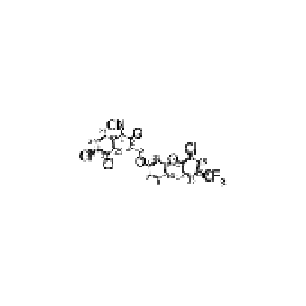 N#CC(C(=O)CCOc1cccc(Oc2ccc(C(F)(F)F)cc2Cl)c1)c1ccc(Cl)c(Cl)c1